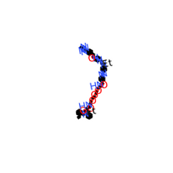 C=Cc1ccccc1CN(C(=O)CCC(=O)NCCOCCOCCOCCNC(=O)c1ccc(/N=N/c2ccc(N(CC)CCN3CCN(C(=O)Cc4ccc(-c5nnc(C)nn5)cc4)CC3)cc2)cc1)c1ccccc1CC